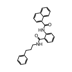 O=C(NCCCc1ccccc1)c1ccccc1NC(=O)c1cccc2ccccc12